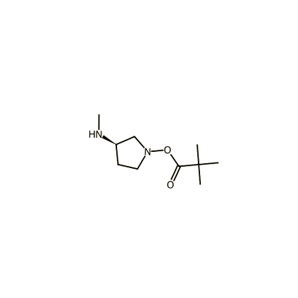 CN[C@@H]1CCN(OC(=O)C(C)(C)C)C1